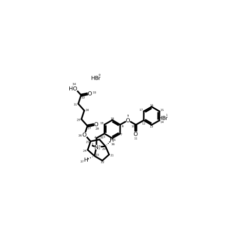 Br.Br.C[N+]1(Cc2ccc(OC(=O)c3ccccc3)cc2)[C@@H]2CC[C@H]1CC(OC(=O)CCCC(=O)O)C2